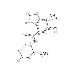 CO[C@@H]1CN(C)CC[C@@H]1NC(=O)c1cc(Cl)c(N)c2c1OCC2